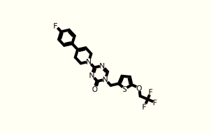 O=c1nc(N2CC=C(c3ccc(F)cc3)CC2)ncn1Cc1ccc(OCC(F)(F)F)s1